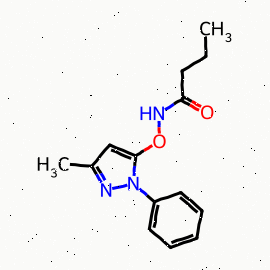 CCCC(=O)NOc1cc(C)nn1-c1ccccc1